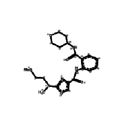 COCCN(C)c1nc(C(=O)Nc2ccccc2C(=O)NC2CCOCC2)co1